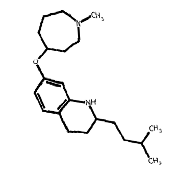 CC(C)CCC1CCc2ccc(OC3CCCN(C)CC3)cc2N1